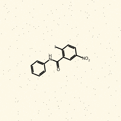 O=C(Nc1ccccc1)c1cc([N+](=O)[O-])ccc1I